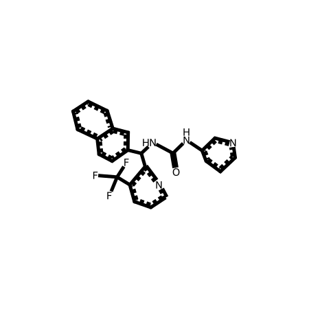 O=C(Nc1cccnc1)NC(c1ccc2ccccc2c1)c1ncccc1C(F)(F)F